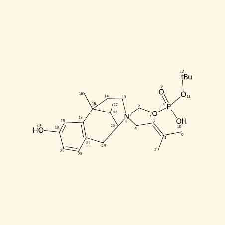 CC(C)=CC[N+]1(COP(=O)(O)OC(C)(C)C)CCC2(C)c3cc(O)ccc3CC1C2C